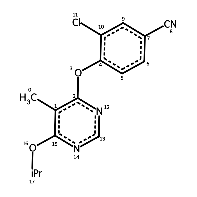 Cc1c(Oc2ccc(C#N)cc2Cl)ncnc1OC(C)C